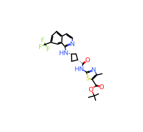 Cc1nc(NC(=O)[C@H]2C[C@@H](Nc3nccc4ccc(C(F)(F)F)cc34)C2)sc1C(=O)OC(C)(C)C